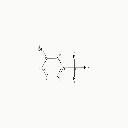 FC(F)(F)c1nccc(Br)n1